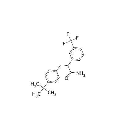 CC(C)(C)c1ccc(CC(C(N)=O)c2cccc(C(F)(F)F)c2)cc1